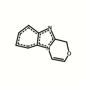 C1=Cn2c(nc3ccccc32)CO1